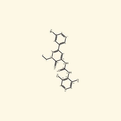 CCn1nc(-c2cncc(Br)c2)cc(NC(=O)Nc2c(Cl)cncc2Cl)c1=O